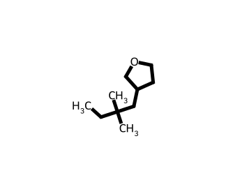 CCC(C)(C)CC1CCOC1